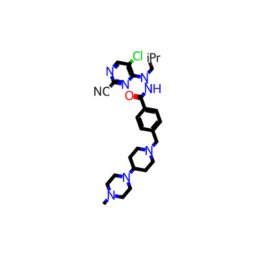 CC(C)CN(NC(=O)c1ccc(CN2CCC(N3CCN(C)CC3)CC2)cc1)c1nc(C#N)ncc1Cl